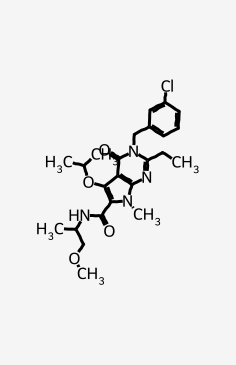 CCc1nc2c(c(OC(C)C)c(C(=O)NC(C)COC)n2C)c(=O)n1Cc1cccc(Cl)c1